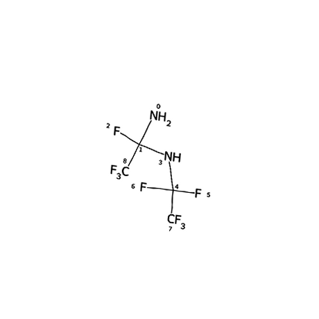 NC(F)(NC(F)(F)C(F)(F)F)C(F)(F)F